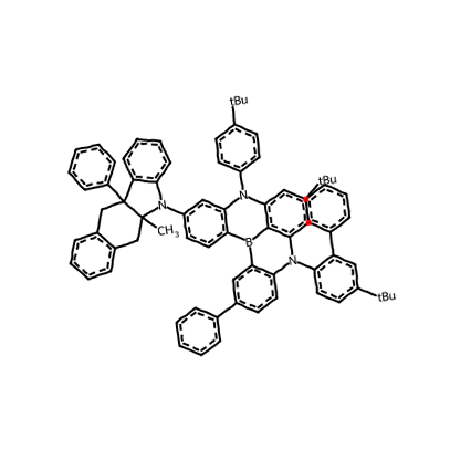 CC(C)(C)c1ccc(N2c3cc(N4c5ccccc5C5(c6ccccc6)Cc6ccccc6CC45C)ccc3B3c4cc(-c5ccccc5)ccc4N(c4ccc(C(C)(C)C)cc4-c4ccccc4)c4cc(C(C)(C)C)cc2c43)cc1